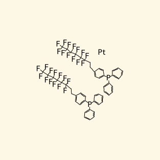 FC(F)(F)C(F)(F)C(F)(F)C(F)(F)C(F)(F)C(F)(F)CCc1ccc(P(c2ccccc2)c2ccccc2)cc1.FC(F)(F)C(F)(F)C(F)(F)C(F)(F)C(F)(F)C(F)(F)CCc1ccc(P(c2ccccc2)c2ccccc2)cc1.[Pt]